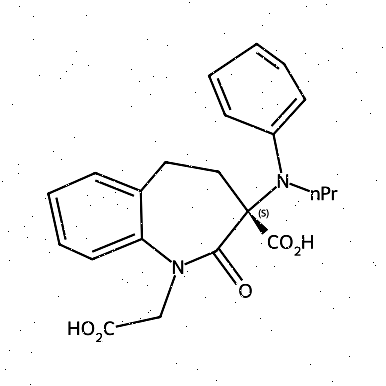 CCCN(c1ccccc1)[C@@]1(C(=O)O)CCc2ccccc2N(CC(=O)O)C1=O